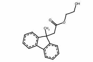 CC1(CC(=O)OCCO)c2ccccc2-c2ccccc21